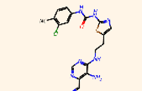 N#Cc1ccc(NC(=O)Nc2ncc(CCNc3ncnc(C=N)c3N)s2)cc1Cl